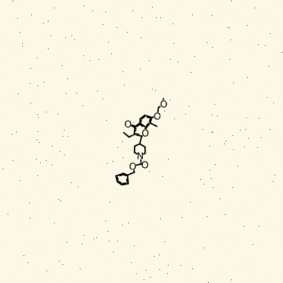 CCc1c(C2CCN(C(=O)OCc3ccccc3)CC2)oc2c(C)c(OCOC)ccc2c1=O